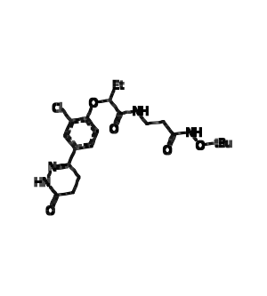 CCC(Oc1ccc(C2=NNC(=O)CC2)cc1Cl)C(=O)NCCC(=O)NOC(C)(C)C